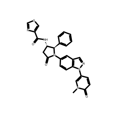 Cn1cc(-n2ncc3cc(N4C(=O)C[C@H](NC(=O)c5cscn5)[C@H]4c4ccccc4)ccc32)ccc1=O